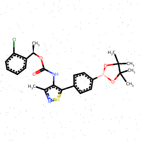 Cc1nsc(-c2ccc(B3OC(C)(C)C(C)(C)O3)cc2)c1NC(=O)O[C@H](C)c1ccccc1Cl